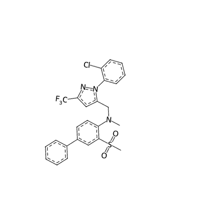 CN(Cc1cc(C(F)(F)F)nn1-c1ccccc1Cl)c1ccc(-c2ccccc2)cc1S(C)(=O)=O